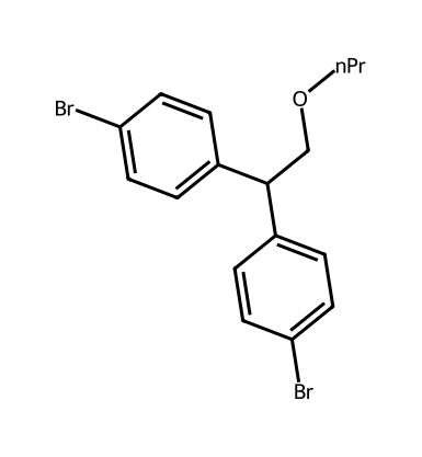 CCCOCC(c1ccc(Br)cc1)c1ccc(Br)cc1